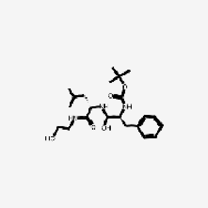 CC(C)C[C@H](NC(O)[C@H](Cc1ccccc1)NC(=O)OC(C)(C)C)C(=O)NCCO